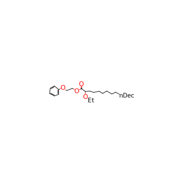 CCCCCCCCCCCCCCCCCC(OCC)C(=O)OCCOc1ccccc1